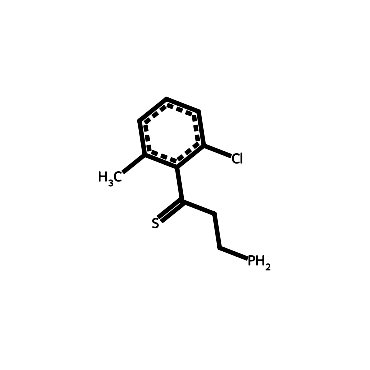 Cc1cccc(Cl)c1C(=S)CCP